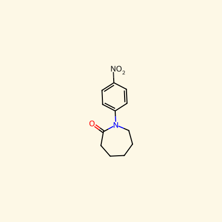 O=C1CCCCCN1c1ccc([N+](=O)[O-])cc1